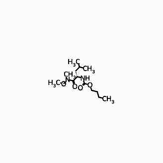 CCCCOC(=O)N[C@@H](CC(C)C)C(=O)N(C)OC